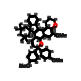 COc1ccc(C2(c3ccc(OC)cc3)C=Cc3c4c(c5c6c(c(OC)cc5c3O2)OCCC6)-c2ccccc2C42CC(C)(C)CC(C)(C)C2)cc1